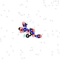 C[C@@H]1CN(CC(=O)N2c3cc(Cc4ccc(F)cc4)c(OCCN4CCOCC4)nc3OC[C@@H]2C)[C@@H](CN2[C@H](C)COC[C@H]2C)CN1C(=O)OC(C)(C)C